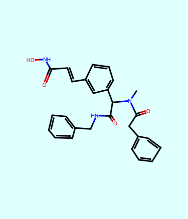 CN(C(=O)Cc1ccccc1)C(C(=O)NCc1ccccc1)c1cccc(C=CC(=O)NO)c1